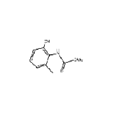 COC(=O)Nc1c(C)cccc1C#N